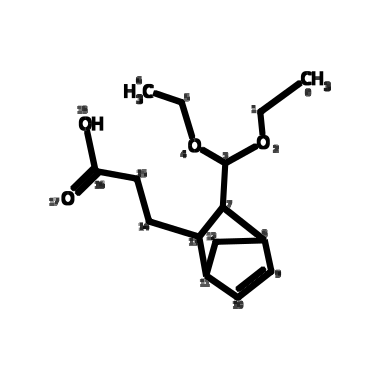 CCOC(OCC)C1C2C=CC(C2)C1CCC(=O)O